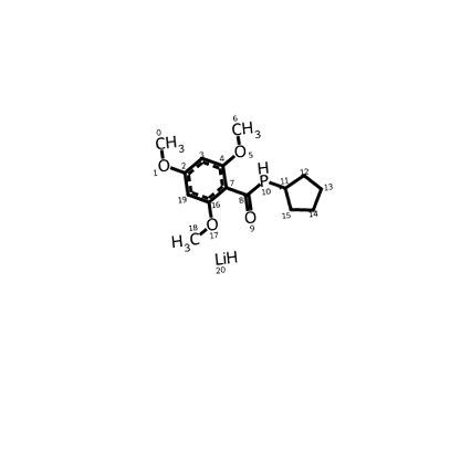 COc1cc(OC)c(C(=O)P[C]2CCCC2)c(OC)c1.[LiH]